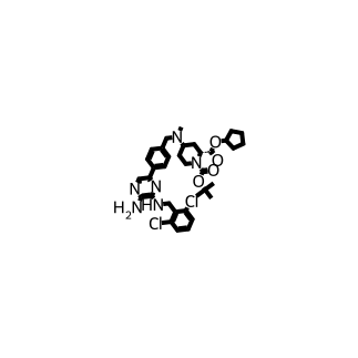 CN(Cc1ccc(-c2cnc(N)c(NCc3c(Cl)cccc3Cl)n2)cc1)C1CCN(C(=O)OC(C)(C)C)[C@@H](C(=O)OC2CCCC2)C1